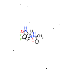 C[C@H](c1c[nH]c(=O)c2c(F)c(F)ccc12)N(C)C(=O)N[C@H](C)c1ccccc1